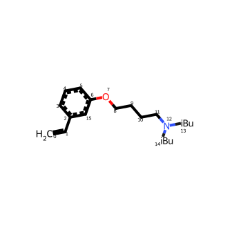 C=Cc1cccc(OCCCCN(C(C)CC)C(C)CC)c1